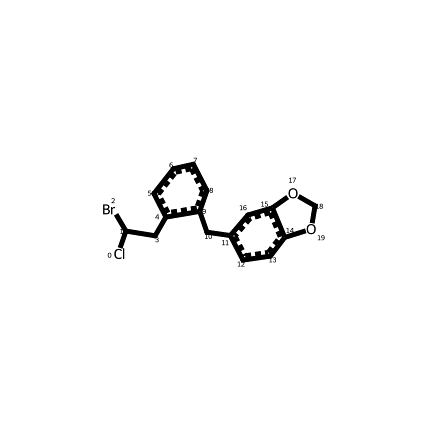 ClC(Br)Cc1ccccc1Cc1ccc2c(c1)OCO2